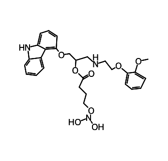 COc1ccccc1OCCNCC(COc1cccc2[nH]c3ccccc3c12)OC(=O)CCCON(O)O